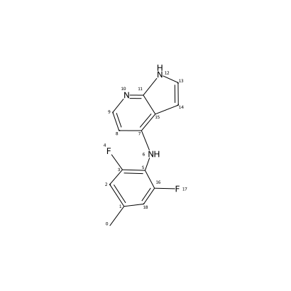 Cc1cc(F)c(Nc2ccnc3[nH]ccc23)c(F)c1